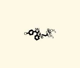 CC(CCS(=O)(=O)c1ccccc1C1CN=NC1c1ccc(Cl)cc1)OS(C)(=O)=O